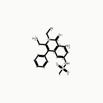 CC(C)Cn1c(CN)c(-c2ccccc2)c2cc(NS(C)(=O)=O)ccc2c1=O.Cl